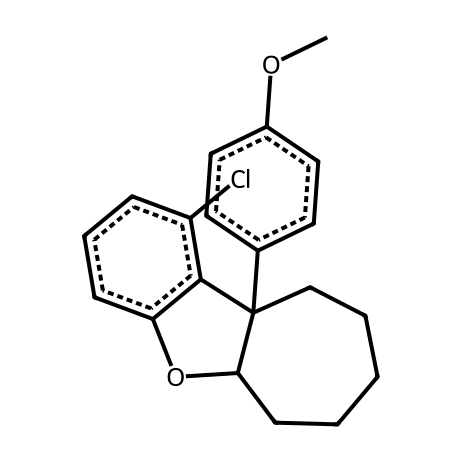 COc1ccc(C23CCCCCC2Oc2cccc(Cl)c23)cc1